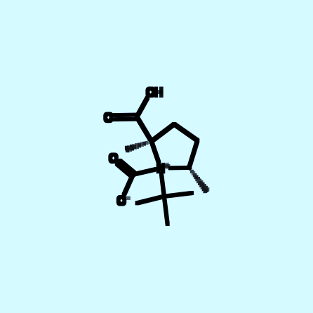 C[C@H]1CC[C@](C)(C(=O)O)[N+]1(C(=O)[O-])C(C)(C)C